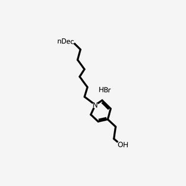 Br.CCCCCCCCCCCCCCCCN1C=CC(CCO)=CC1